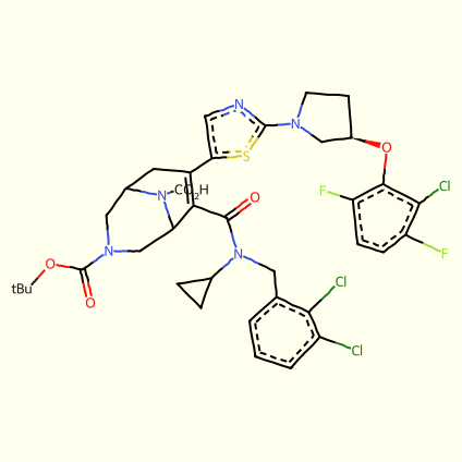 CC(C)(C)OC(=O)N1CC2CC(c3cnc(N4CC[C@@H](Oc5c(F)ccc(F)c5Cl)C4)s3)=C(C(=O)N(Cc3cccc(Cl)c3Cl)C3CC3)C(C1)N2C(=O)O